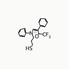 O=C(/C(=C\N(CCCS)c1ccccc1)c1ccccc1)C(F)(F)F